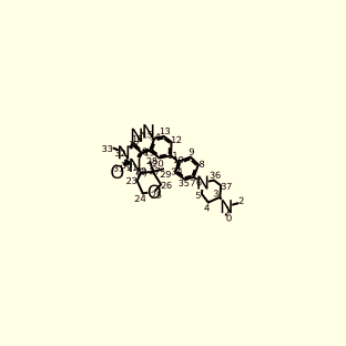 CN(C)C1CCN(c2ccc(-c3ccc4nnc5c(c4c3)n([C@@H]3CCOCC3(C)C)c(=O)n5C)cc2)CC1